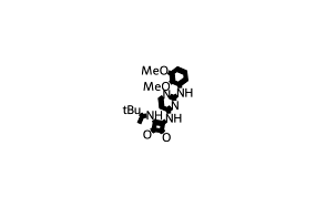 COc1cccc(Nc2nccc(Nc3c(NC(C)C(C)(C)C)c(=O)c3=O)n2)c1OC